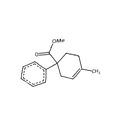 COC(=O)C1(c2ccccc2)CC=C(C)CC1